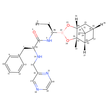 CC(C)C[C@H](NC(=O)[C@H](Cc1ccccc1)NCc1cnccn1)B1O[C@@H]2C[C@@H]3C[C@@H](C3(C)C)[C@]2(C)O1